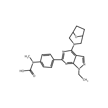 CCn1ncc2c(N3CC4CCC(C3)O4)nc(-c3ccc(N(C)C(=O)O)cc3)nc21